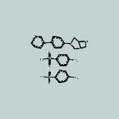 Cc1ccc(S(=O)(=O)O)cc1.Cc1ccc(S(=O)(=O)O)cc1.c1cncc(-c2ccc(N3CC4CNC4C3)cc2)c1